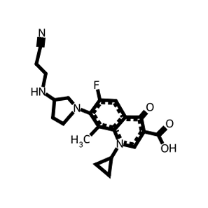 Cc1c(N2CCC(NCCC#N)C2)c(F)cc2c(=O)c(C(=O)O)cn(C3CC3)c12